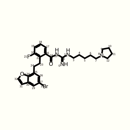 N=C(NCCCCCN1CCCC1)NC(=O)c1cccc(F)c1CCc1cc(Br)cc2ccoc12